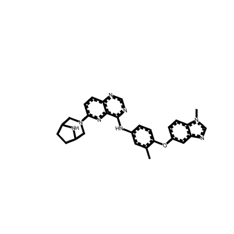 Cc1cc(Nc2ncnc3ccc(N4CC5CCC(C4)N5)nc23)ccc1Oc1ccc2c(c1)ncn2C